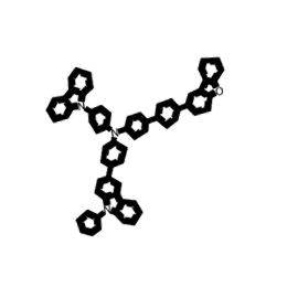 c1ccc(-n2c3ccccc3c3cc(-c4ccc(N(c5ccc(-c6ccc(-c7ccc8oc9ccccc9c8c7)cc6)cc5)c5ccc(-n6c7ccccc7c7ccccc76)cc5)cc4)ccc32)cc1